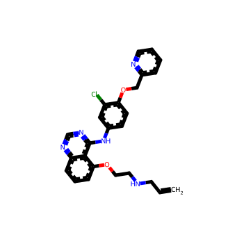 C=CCNCCOc1cccc2ncnc(Nc3ccc(OCc4ccccn4)c(Cl)c3)c12